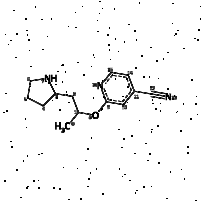 CC(CC1CCCN1)Oc1cc(C#N)ccn1